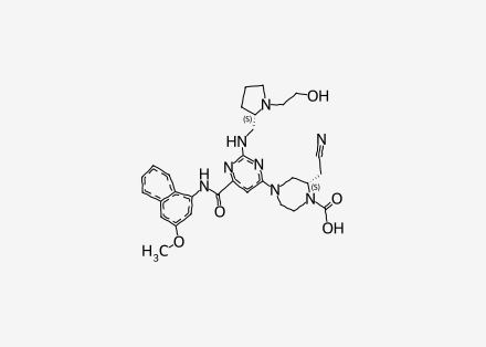 COc1cc(NC(=O)c2cc(N3CCN(C(=O)O)[C@@H](CC#N)C3)nc(NC[C@@H]3CCCN3CCO)n2)c2ccccc2c1